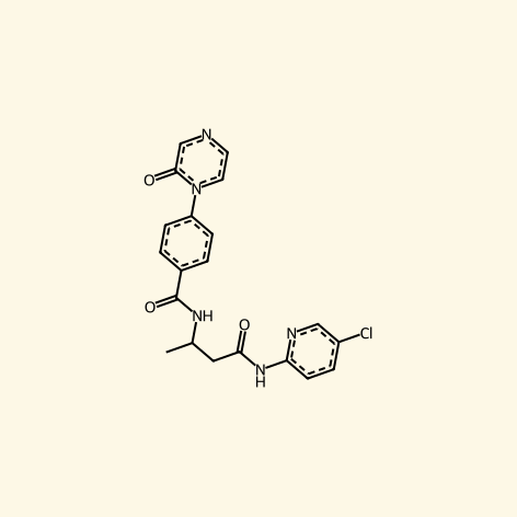 CC(CC(=O)Nc1ccc(Cl)cn1)NC(=O)c1ccc(-n2ccncc2=O)cc1